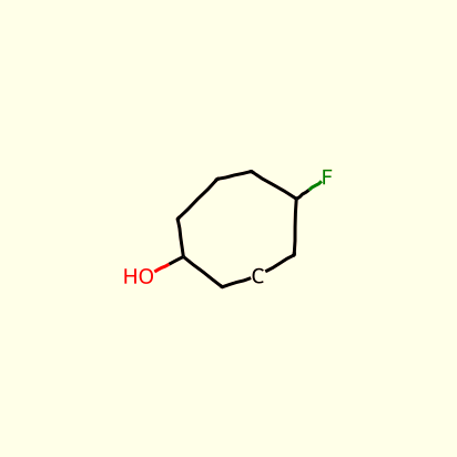 OC1CCCC(F)CCC1